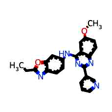 CCc1nc2ccc(Nc3nc(-c4cccnc4)nc4ccc(OC)cc34)cc2o1